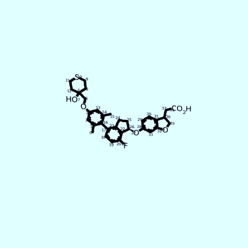 Cc1cc(OCC2(O)CCSCC2)cc(C)c1-c1ccc(F)c2c1CC[C@H]2Oc1ccc2c(c1)OCC2CC(=O)O